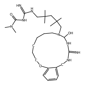 CN(C)C(=O)NC(=N)NCC(C)(C)CC(C)(C)CN1CCCCCCOc2ccccc2CNC(=N)NC1O